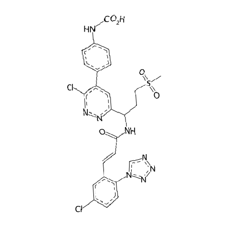 CS(=O)(=O)CCC(NC(=O)C=Cc1cc(Cl)ccc1-n1cnnn1)c1cc(-c2ccc(NC(=O)O)cc2)c(Cl)nn1